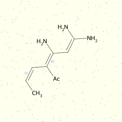 C/C=C\C(C(C)=O)=C(/N)C=C(N)N